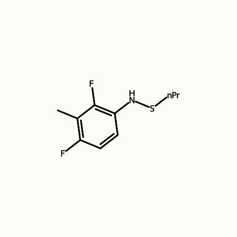 CCCSNc1ccc(F)c(C)c1F